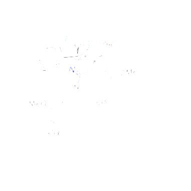 COc1ccc(CN(Cc2ccc(C)cc2OC)C2=N[C@](C)(c3ccccc3F)[C@@H](F)[C@@H](CO)O2)c(C)c1